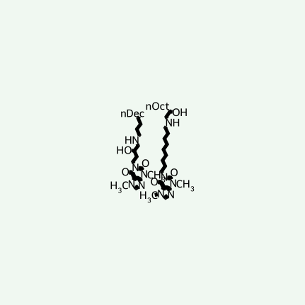 CCCCCCCCC(O)CNCCCCCCCCCn1c(=O)c2c(ncn2C)n(C)c1=O.CCCCCCCCCCCCCCNCC(O)CCn1c(=O)c2c(ncn2C)n(C)c1=O